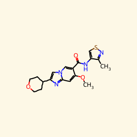 COc1cc2nc(C3CCOCC3)cn2cc1C(=O)Nc1csnc1C